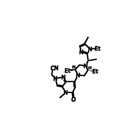 CC[C@H]1CN(C(C)c2ncc(C)n2CC)[C@H](CC)CN1c1cc(=O)n(C)c2cn(CC#N)nc12